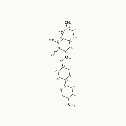 CC1CCC(C2CCC(COC3CC4CCC(C)OC4C(F)C3F)CC2)CC1